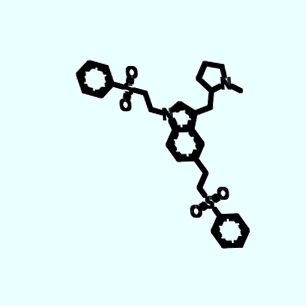 CN1CCCC1Cc1cn(CCS(=O)(=O)c2ccccc2)c2ccc(CCS(=O)(=O)c3ccccc3)cc12